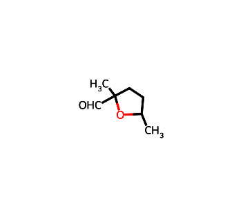 CC1CCC(C)(C=O)O1